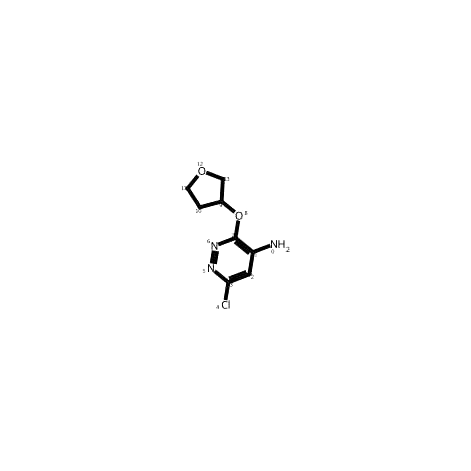 Nc1cc(Cl)nnc1OC1CCOC1